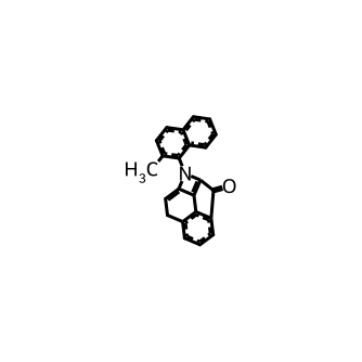 Cc1ccc2ccccc2c1N1C2=CCc3cccc4c3C2=C1C4=O